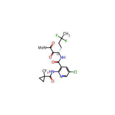 CNC(=O)C(=O)[C@H](CCC(C)(F)F)NC(=O)c1cc(Cl)cnc1NC(=O)C1(C(F)(F)F)CC1